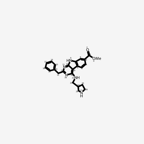 COC(=O)c1ccc2c(c1)[nH]c1nc(Cc3ccccc3)nc(NCC3CCNC3)c12